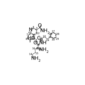 NC(=O)c1cnc2ccccc2c1.NCCC[C@@H](N)C(=O)N[C@@H](CCc1ccccc1)C(=O)O